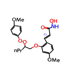 CCCC(COc1cc(OC)ccc1/C=C/C(=O)NO)OOc1ccc(OC)cc1